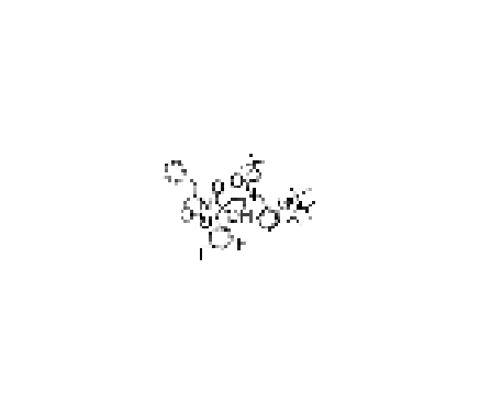 CC(C)[Si](Oc1cccc2c1CN(C(=O)OC(C)(C)C)C(C[C@@](O)(Cc1cc(F)cc(F)c1)C(=O)N1C(=O)OCC1Cc1ccccc1)C2)(C(C)C)C(C)C